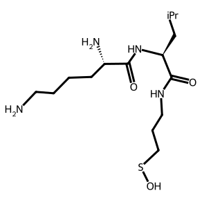 CC(C)C[C@H](NC(=O)[C@@H](N)CCCCN)C(=O)NCCCSO